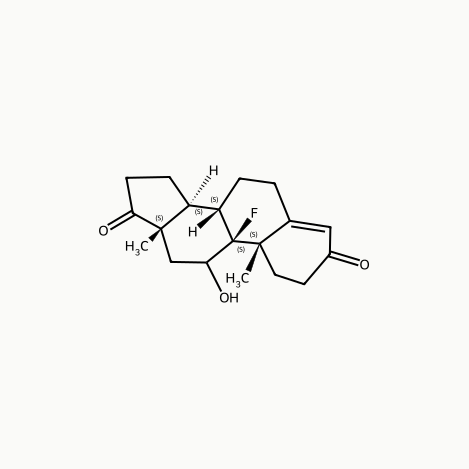 C[C@]12CCC(=O)C=C1CC[C@H]1[C@@H]3CCC(=O)[C@@]3(C)CC(O)[C@]12F